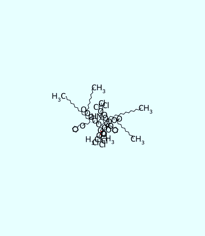 CCCCCCCCCCC[C@H](CC(=O)O[C@H]1[C@H](OP(=O)(Oc2ccccc2)Oc2ccccc2)[C@@H](COC(=O)OC(C)(C)C(Cl)(Cl)Cl)OC(OC[C@H](CCOCc2ccccc2)C(=O)C[C@@H](CCCCCCCCCCC)OC(=O)CCCCCCCCC)[C@@H]1NC(=O)OCC(Cl)(Cl)Cl)OC(=O)CCCCCCCCC